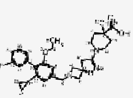 CCOc1cc(CN2CC3(CC(N4CCC(C)(C(=O)O)CC4)=NO3)C2)cc(C2CC2)c1-c1cccc(F)c1